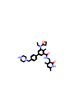 CCN(c1cc(-c2ccc(CN3CCNCC3)cc2)cc(C(=O)NCc2c(C)cc(C)[nH]c2=O)c1C)C1CCO1